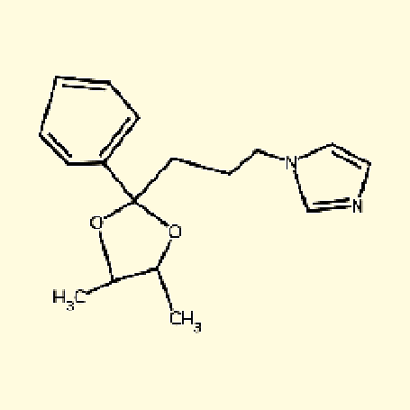 CC1OC(CCCn2ccnc2)(c2ccccc2)OC1C